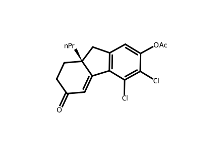 CCC[C@]12CCC(=O)C=C1c1c(cc(OC(C)=O)c(Cl)c1Cl)C2